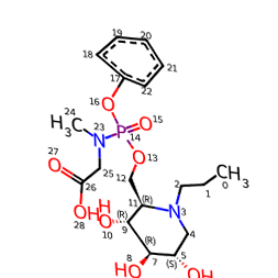 CCCN1C[C@H](O)[C@@H](O)[C@H](O)[C@H]1COP(=O)(Oc1ccccc1)N(C)CC(=O)O